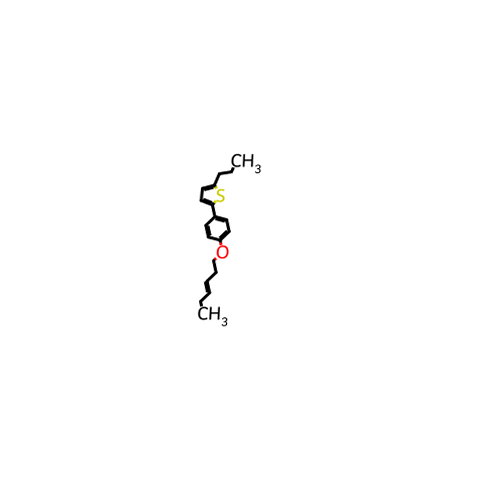 CCC=CCCOc1ccc(-c2ccc(CCC)s2)cc1